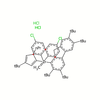 Cl.Cl.[CH2]=[Zr]([C]1=CC(C(C)(C)C)=CC1CCC)([c]1ccc(Cl)cc1)([c]1ccc(Cl)cc1)[c]1c2c(cc(C(C)(C)C)c1C(C)(C)C)-c1cc(C(C)(C)C)c(C(C)(C)C)cc1C2